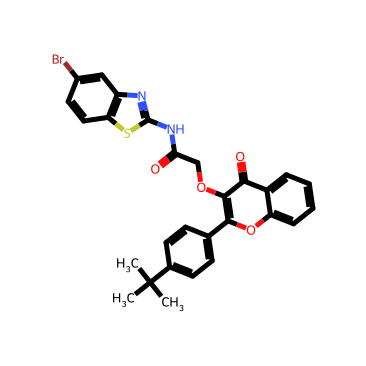 CC(C)(C)c1ccc(-c2oc3ccccc3c(=O)c2OCC(=O)Nc2nc3cc(Br)ccc3s2)cc1